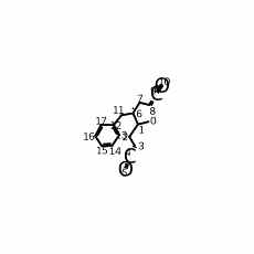 CC(CC=C=O)[C](CC=C=O)Cc1ccccc1